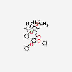 Cc1c(C)c2c(c(C=CC(=O)c3ccc(OCc4ccccc4)cc3OCc3ccccc3)c1OCc1ccccc1)CCC(C)(C)O2